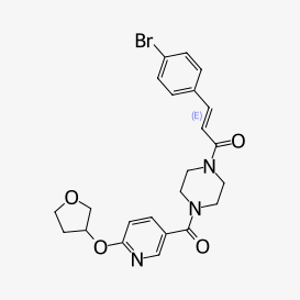 O=C(/C=C/c1ccc(Br)cc1)N1CCN(C(=O)c2ccc(OC3CCOC3)nc2)CC1